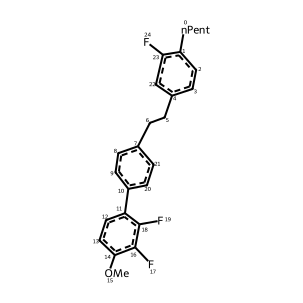 CCCCCc1ccc(CCc2ccc(-c3ccc(OC)c(F)c3F)cc2)cc1F